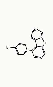 Brc1ccc(-c2cccc3oc4ccccc4c23)cc1